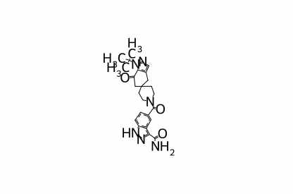 CC(C)(C)n1ncc2c1C(=O)CC1(CCN(C(=O)c3ccc4[nH]nc(C(N)=O)c4c3)CC1)C2